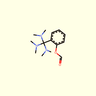 CN(C)C(c1ccccc1OC=O)(N(C)C)N(C)C